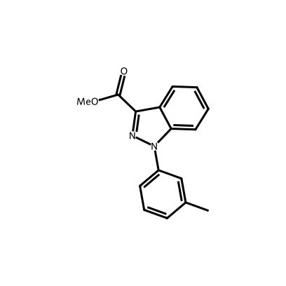 COC(=O)c1nn(-c2cccc(C)c2)c2ccccc12